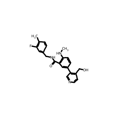 CNc1ccc(-c2cnccc2CO)cc1C(=O)NCc1ccc(C)c(F)c1